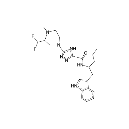 CCCC(Cc1c[nH]c2ccccc12)NC(=O)c1nnc(N2CCN(C)C(C(F)F)C2)[nH]1